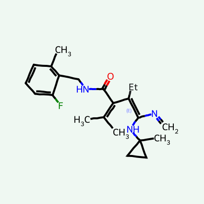 C=N/C(NC1(C)CC1)=C(\CC)C(C(=O)NCc1c(C)cccc1F)=C(C)C